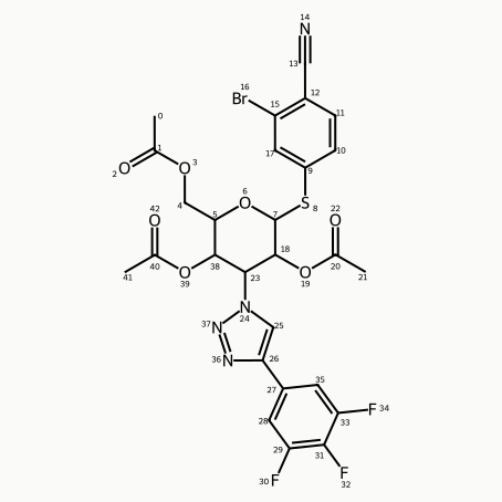 CC(=O)OCC1OC(Sc2ccc(C#N)c(Br)c2)C(OC(C)=O)C(n2cc(-c3cc(F)c(F)c(F)c3)nn2)C1OC(C)=O